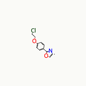 ClCCOc1ccc(-c2n[c]co2)cc1